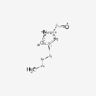 CCCCc1cc([C]=O)no1